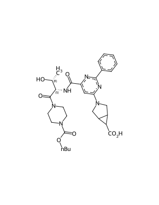 CCCCOC(=O)N1CCN(C(=O)[C@@H](NC(=O)c2cc(N3CC4C(C3)C4C(=O)O)nc(-c3ccccc3)n2)[C@@H](C)O)CC1